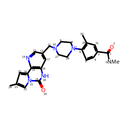 CNC(=O)c1ccc(N2CCN(Cc3cnc4c(c3)[nH]c(=O)n3cc(C)cc43)CC2)c(C)c1